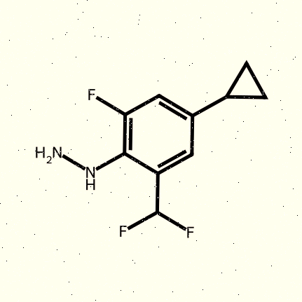 NNc1c(F)cc(C2CC2)cc1C(F)F